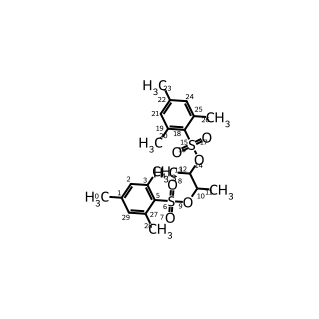 Cc1cc(C)c(S(=O)(=O)OC(C)C(C)OS(=O)(=O)c2c(C)cc(C)cc2C)c(C)c1